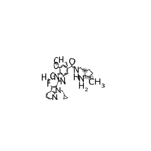 COc1cc(C(=O)NC[C@H]2CC[C@@H](C)[C@@H]2N)cc2nc(-c3c(F)c4cccnc4n3CC3CC3)n(C)c12